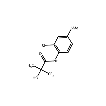 CSc1ccc(NC(=O)C(C)(O)C(F)(F)F)c(Cl)c1